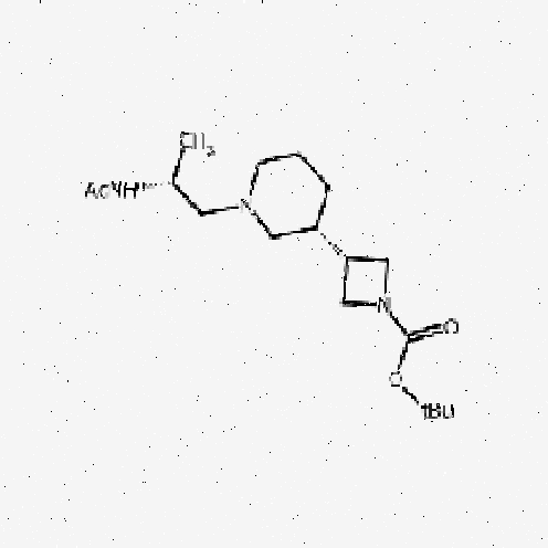 CC(=O)N[C@H](C)CN1CCC[C@H](C2CN(C(=O)OC(C)(C)C)C2)C1